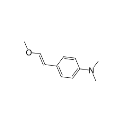 COC=Cc1ccc(N(C)C)cc1